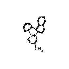 CC1=CB2c3ccc4ccccc4c3-c3ccccc3N2C=C1